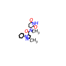 Cc1cc(C(=O)N(C)C2CCC(=O)NC2=O)n(-c2ccccc2)n1